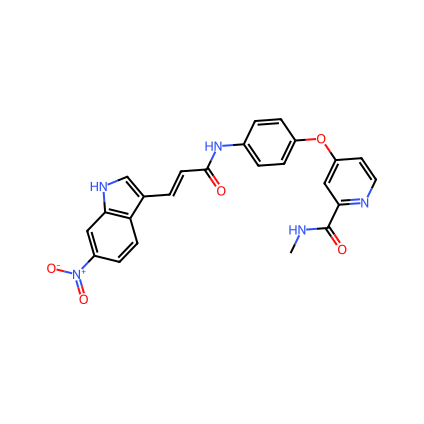 CNC(=O)c1cc(Oc2ccc(NC(=O)C=Cc3c[nH]c4cc([N+](=O)[O-])ccc34)cc2)ccn1